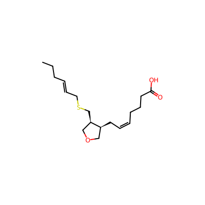 CCCC=CCSC[C@@H]1COC[C@@H]1C/C=C\CCCC(=O)O